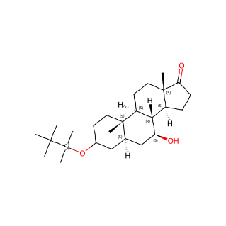 CC(C)(C)[Si](C)(C)OC1CC[C@@]2(C)[C@H](C1)C[C@H](O)[C@@H]1[C@@H]2CC[C@]2(C)C(=O)CC[C@@H]12